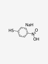 O=[N+](O)c1ccc(S)cc1.[NaH]